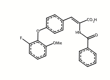 COc1cccc(F)c1Oc1ccc(C=C(NC(=O)c2ccccc2)C(=O)O)cc1